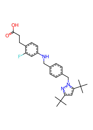 CC(C)(C)c1cc(C(C)(C)C)n(Cc2ccc(CNc3ccc(CCC(=O)O)c(F)c3)cc2)n1